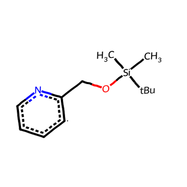 CC(C)(C)[Si](C)(C)OCc1[c]cccn1